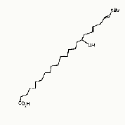 CCCCC=CCC=CCC(O)CCCCCCCCCCCCCCCC(=O)O